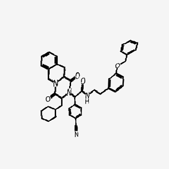 N#Cc1ccc(C(C(=O)NCCc2cccc(OCc3ccccc3)c2)N2C(=O)C3Cc4ccccc4CN3C(=O)C2CC2CCCCC2)cc1